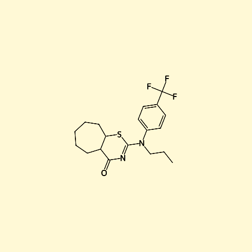 CCCN(C1=NC(=O)C2CCCCCC2S1)c1ccc(C(F)(F)F)cc1